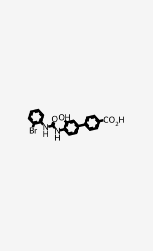 O=C(Nc1ccc(-c2ccc(C(=O)O)cc2)cc1O)Nc1ccccc1Br